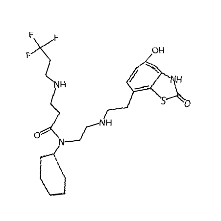 O=C(CCNCCC(F)(F)F)N(CCNCCc1ccc(O)c2[nH]c(=O)sc12)C1CCCCC1